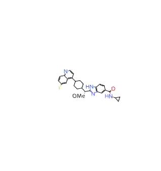 CO[C@@H](c1nc2cc(C(=O)NC3CC3)ccc2[nH]1)C1CCC(c2ccnc3ccc(F)cc23)CC1